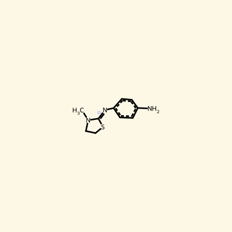 CN1CCS/C1=N\c1ccc(N)cc1